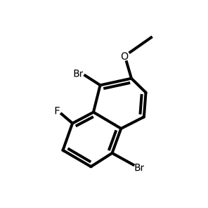 COc1ccc2c(Br)ccc(F)c2c1Br